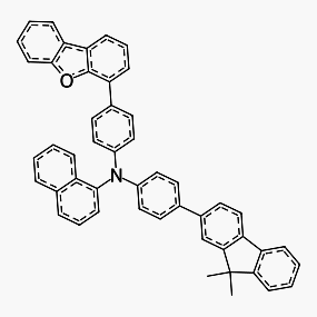 CC1(C)c2ccccc2-c2ccc(-c3ccc(N(c4ccc(-c5cccc6c5oc5ccccc56)cc4)c4cccc5ccccc45)cc3)cc21